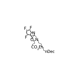 CCCCCCCCCCCCCCCCN(Cc1nc2c(F)c(F)cc(F)c2s1)C(=O)CCC(=O)OCC